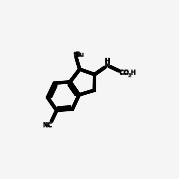 CC(C)(C)C1c2ccc(C#N)cc2CC1NC(=O)O